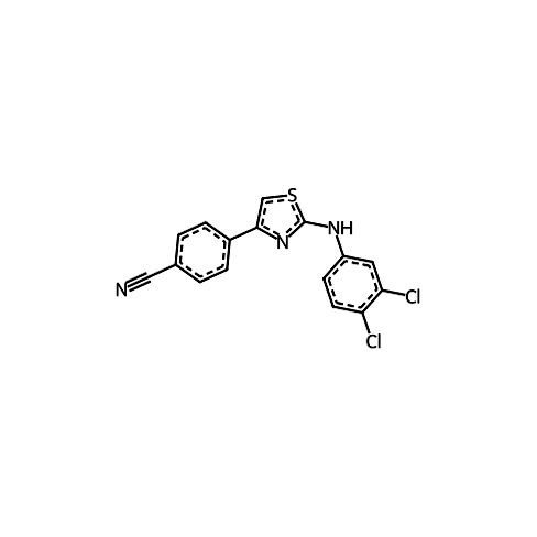 N#Cc1ccc(-c2csc(Nc3ccc(Cl)c(Cl)c3)n2)cc1